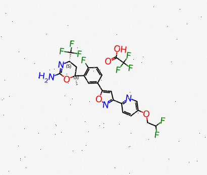 C[C@@]1(c2cc(-c3cc(-c4ccc(OCC(F)F)cn4)no3)ccc2F)C[C@@H](C(F)(F)F)N=C(N)O1.O=C(O)C(F)(F)F